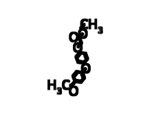 CCOC(=O)COc1ccc(Oc2ccc(C(C)=O)cc2)cc1